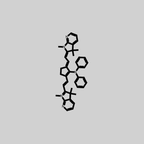 CN1/C(=C/C=C2\CCC(/C=C/C3=[N+](C)c4ncccc4C3(C)C)=C2N(c2ccccc2)c2ccccc2)C(C)(C)c2cccnc21